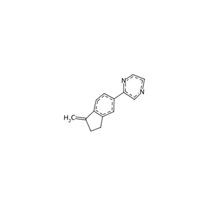 C=C1CCc2cc(-c3cnccn3)ccc21